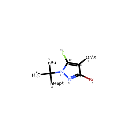 CCCCCCCC(C)(CCCC)n1nc(Br)c(OC)c1F